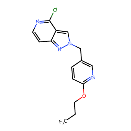 FC(F)(F)CCOc1ccc(Cn2cc3c(Cl)nccc3n2)cn1